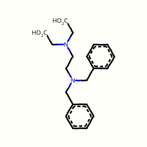 O=C(O)CN(CCN(Cc1ccccc1)Cc1ccccc1)CC(=O)O